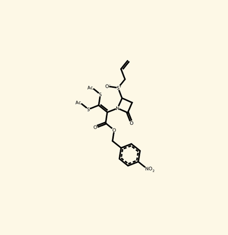 C=CC[S+]([O-])C1CC(=O)N1C(C(=O)OCc1ccc([N+](=O)[O-])cc1)=C(SC(C)=O)SC(C)=O